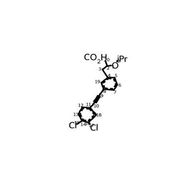 CC(C)OC(Cc1cccc(C#Cc2ccc(Cl)c(Cl)c2)c1)C(=O)O